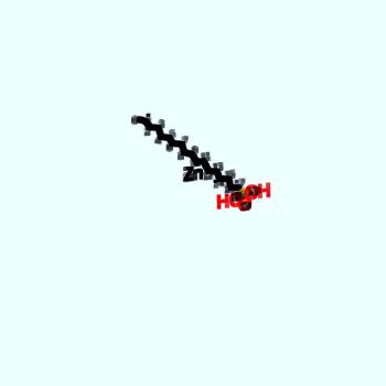 CCCCCCCCCCCCCCCCCCP(=O)(O)O.[Zn]